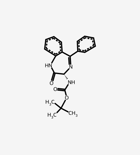 CC(C)(C)OC(=O)N[C@H]1N=C(c2ccccc2)c2ccccc2NC1=O